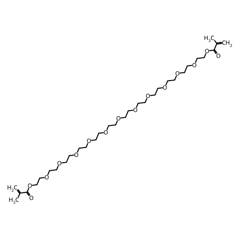 C=C(C)C(=O)OCCOCCOCCOCCOCCOCCOCCOCCOCCOCCOCCOCCOC(=O)C(=C)C